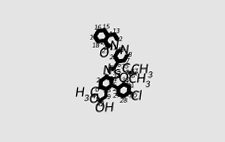 Cc1cc2nc(-c3ccnc(-n4ccc5ccccc5c4=O)c3)sc2c(-c2ccc(Cl)cc2OC(C)(C)C)c1CC(=O)O